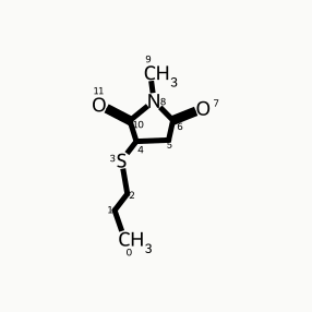 CCCSC1CC(=O)N(C)C1=O